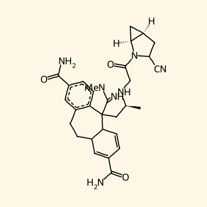 CNC(=N)C1(C[C@H](C)NCC(=O)N2C(C#N)C[C@@H]3C[C@@H]32)c2ccc(C(N)=O)cc2CCC2C=C(C(N)=O)C=CC21